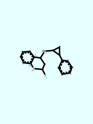 FC1CC(NC2CC2c2ccccc2)c2ccccc2S1